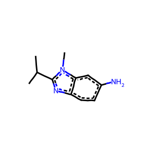 CC(C)c1nc2ccc(N)cc2n1C